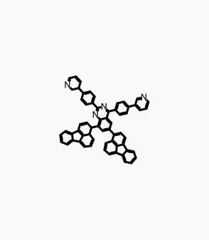 C1=CC(c2ccc(-c3nc(-c4ccc(-c5cccnc5)cc4)c4cc(-c5ccc6c7c(cccc57)-c5ccccc5-6)cc(C5C=CC6=C7C(=CC=CC75)c5ccccc56)c4n3)cc2)CN=C1